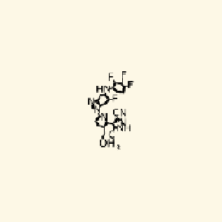 Cc1[nH]nc(C#N)c1-c1nc(-n2cnc3cc(Nc4ccc(F)c(F)c4F)c(F)cc32)ccc1CCO